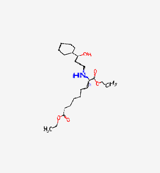 CCOC(=O)CCCCC/C=C(\NCCC(O)C1CCCCC1)C(=O)OCC